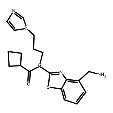 NCc1cccc2sc(N(CCCn3ccnc3)C(=O)C3CCC3)nc12